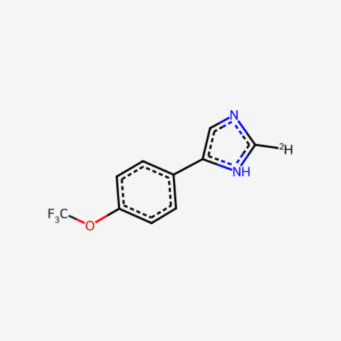 [2H]c1ncc(-c2ccc(OC(F)(F)F)cc2)[nH]1